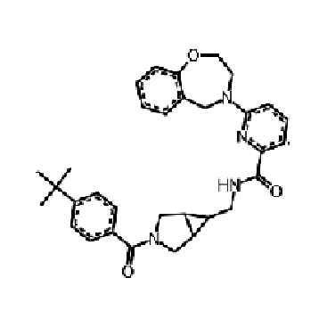 CC(C)(C)c1ccc(C(=O)N2CC3C(CNC(=O)c4[c]ccc(N5CCOc6ccccc6C5)n4)C3C2)cc1